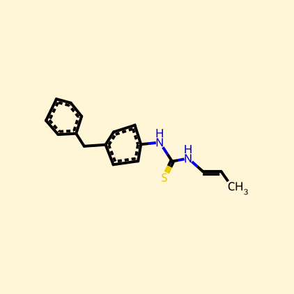 CC=CNC(=S)Nc1ccc(Cc2ccccc2)cc1